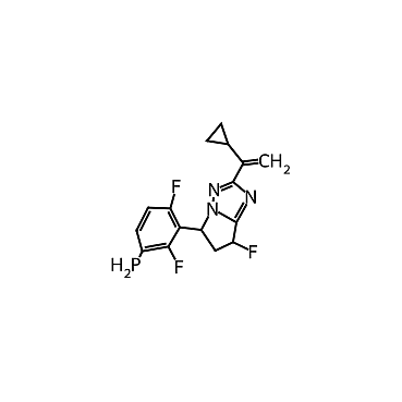 C=C(c1nc2n(n1)C(c1c(F)ccc(P)c1F)CC2F)C1CC1